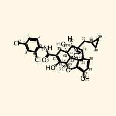 O=C(Nc1ccc(Cl)cc1Cl)C1=C(O)[C@@H]2Oc3c(O)ccc4c3[C@@]23CCN(CC2CC2)[C@H](C4)[C@]3(O)C1